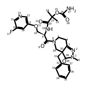 CN1N=C2CCN(C(=O)[C@@H](COc3cncc(F)c3)NC(=O)C(C)(C)OC(N)=O)C[C@@]2(Cc2ccccc2)C1=O